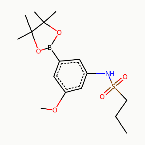 CCCS(=O)(=O)Nc1cc(OC)cc(B2OC(C)(C)C(C)(C)O2)c1